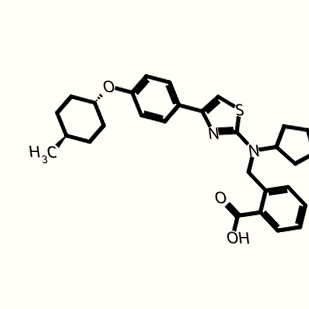 C[C@H]1CC[C@H](Oc2ccc(-c3csc(N(Cc4ccccc4C(=O)O)C4CCCC4)n3)cc2)CC1